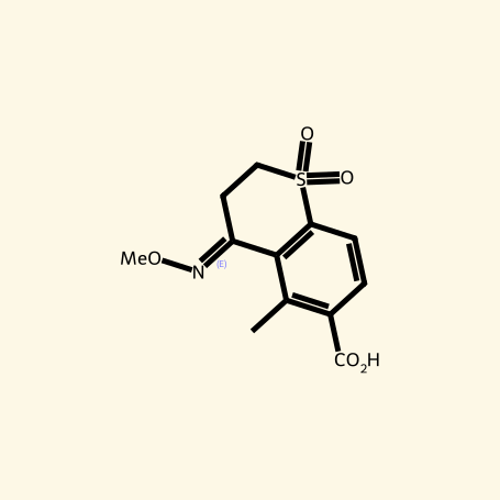 CO/N=C1\CCS(=O)(=O)c2ccc(C(=O)O)c(C)c21